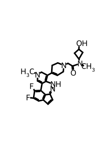 CN1C=C2C(=C(C3=CCN(CC(=O)N(C)C4CC(O)C4)CC3)C1)NN=C1C=Cc3cc(F)c(F)c2c31